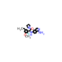 CCc1cc(OC)c(F)c([C@@H](Nc2ccc3c(N)nccc3c2)C(=O)N2CCCC2)c1